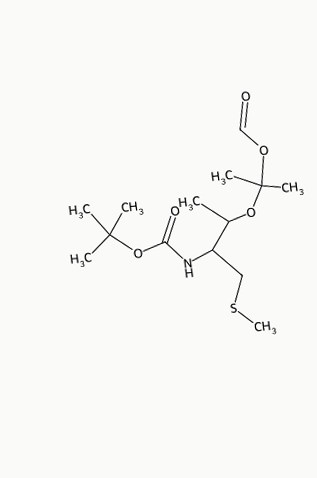 CSCC(NC(=O)OC(C)(C)C)C(C)OC(C)(C)OC=O